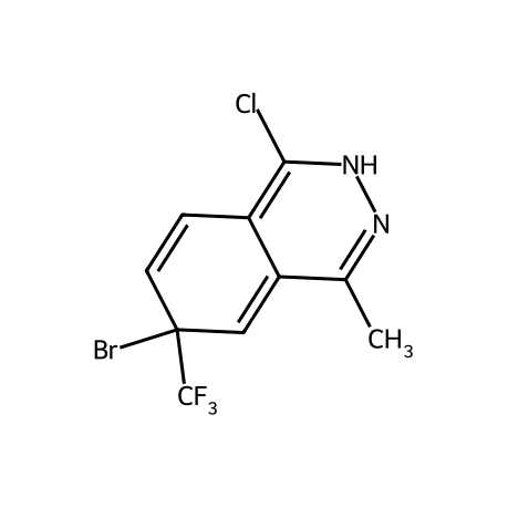 CC1=NNC(Cl)=C2C=CC(Br)(C(F)(F)F)C=C12